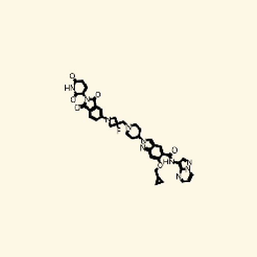 O=C1CCC(N2C(=O)c3ccc(N4CC(F)(CN5CCC(n6cc7cc(C(=O)Nc8cnn9cccnc89)c(OCC8CC8)cc7n6)CC5)C4)cc3C2=O)C(=O)N1